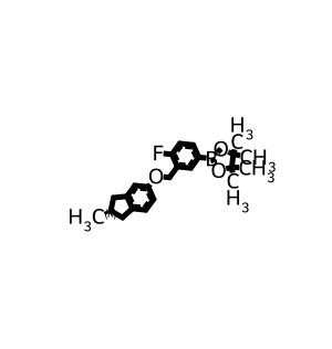 C[C@@H]1Cc2ccc(OCc3cc(B4OC(C)(C)C(C)(C)O4)ccc3F)cc2C1